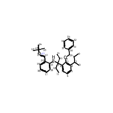 CCC(C)c1cccc(C(CC)(CC)Pc2ccccc2/C=N/C(C)(C)C)c1OCc1ccccc1